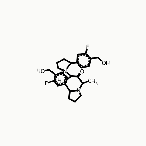 CC(C(=O)C(C)N1CCCC1c1ccc(CO)c(F)c1)N1CCCC1c1ccc(CO)c(F)c1